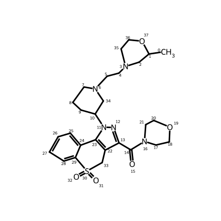 CC1CN(CCN2CCCC(n3nc(C(=O)N4CCOCC4)c4c3-c3ccccc3S(=O)(=O)C4)C2)CCO1